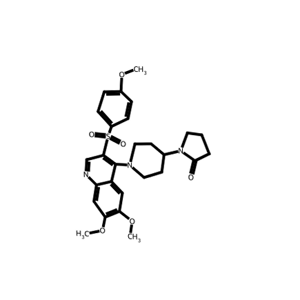 COc1ccc(S(=O)(=O)c2cnc3cc(OC)c(OC)cc3c2N2CCC(N3CCCC3=O)CC2)cc1